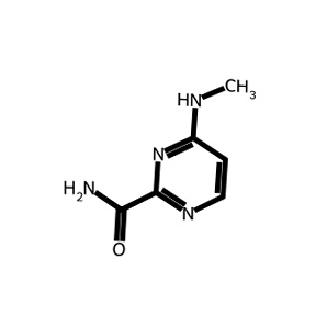 CNc1ccnc(C(N)=O)n1